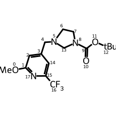 COc1cc(CN2CCN(C(=O)OC(C)(C)C)C2)cc(C(F)(F)F)n1